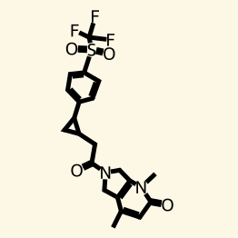 Cc1cc(=O)n(C)c2c1CN(C(=O)CC1CC1c1ccc(S(=O)(=O)C(F)(F)F)cc1)C2